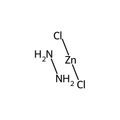 NN.[Cl][Zn][Cl]